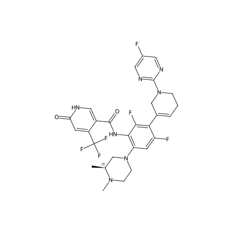 C[C@H]1CN(c2cc(F)c(C3=CCCN(c4ncc(F)cn4)C3)c(F)c2NC(=O)c2c[nH]c(=O)cc2C(F)(F)F)CCN1C